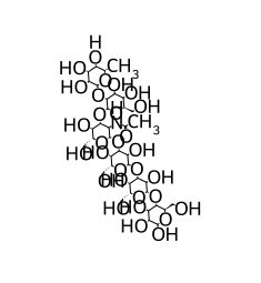 CC(=O)N[C@H]1[C@H](O[C@H]2[C@@H](O)[C@@H](CO)O[C@H](O[C@H]3[C@@H](O)[C@@H](CO)O[C@@H](O[C@H]4[C@H](O)[C@@H](O)[C@H](O)O[C@@H]4CO)[C@@H]3O)[C@@H]2O)O[C@H](CO)[C@H](O)[C@@H]1O[C@@H]1O[C@H](CO)[C@H](O)[C@H](O)[C@H]1O[C@@H]1O[C@@H](C)[C@@H](O)[C@@H](O)[C@@H]1O